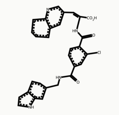 O=C(O)C(=Cc1cnc2ccccc2c1)NC(=O)c1ccc(C(=O)NCc2ccc3cc[nH]c3c2)cc1Cl